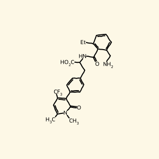 CCc1cccc(CN)c1C(=O)NC(Cc1ccc(-c2c(C(F)(F)F)cc(C)n(C)c2=O)cc1)C(=O)O